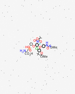 CC(C)=C1OC(=O)N(c2cc(OC3CCCC3)c(Cl)cc2F)C1=O.CON(C)C(=O)Nc1ccc(Oc2ccc3c(c2)OC(C)(OC)CC3(C)C)cc1.CP(=O)(O)CCC(N)C(=O)O